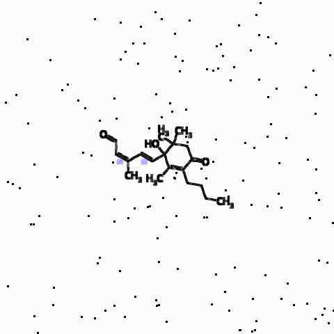 CCCCC1=C(C)C(O)(/C=C/C(C)=C\C=O)C(C)(C)CC1=O